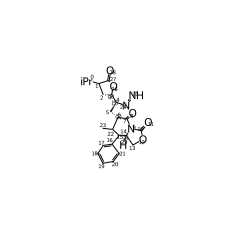 CC(C)C1C[C@@H]([C@H](C[C@@H]2C(=O)N3C(=O)OC[C@@H]3C(c3ccccc3)C2C)N=N)OC1=O